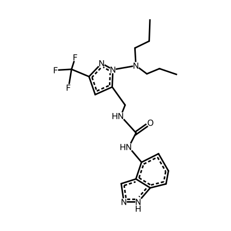 CCCN(CCC)n1nc(C(F)(F)F)cc1CNC(=O)Nc1cccc2[nH]ncc12